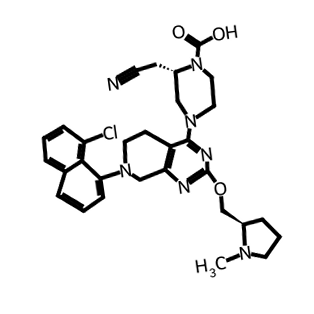 CN1CCC[C@@H]1COc1nc2c(c(N3CCN(C(=O)O)[C@@H](CC#N)C3)n1)CCN(c1cccc3cccc(Cl)c13)C2